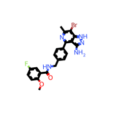 COc1ccc(F)cc1C(=O)NCc1ccc(-c2nc(C)c(Br)c3[nH]nc(N)c23)cc1